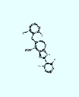 CNc1c(Cc2c(F)cccc2F)ccc2[nH]c(-c3c(F)cccc3F)nc12